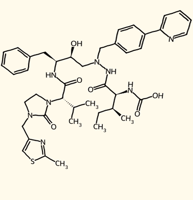 CC[C@H](C)[C@H](NC(=O)O)C(=O)NN(Cc1ccc(-c2ccccn2)cc1)C[C@H](O)[C@H](Cc1ccccc1)NC(=O)[C@H](C(C)C)N1CCN(Cc2csc(C)n2)C1=O